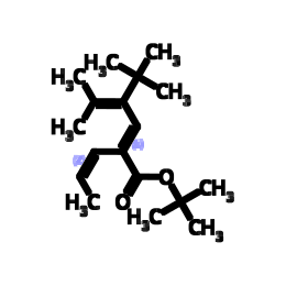 C/C=C\C(=C/C(=C(C)C)C(C)(C)C)C(=O)OC(C)(C)C